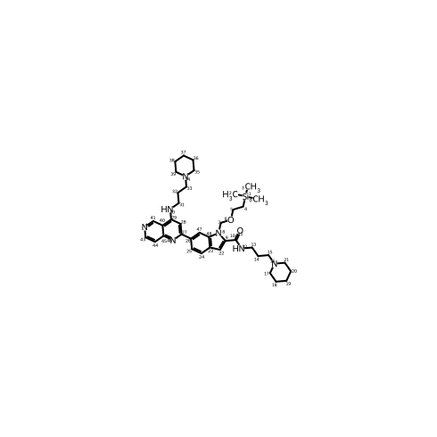 C[Si](C)(C)CCOCn1c(C(=O)NCCCN2CCCCC2)cc2ccc(-c3cc(NCCCN4CCCCC4)c4cnccc4n3)cc21